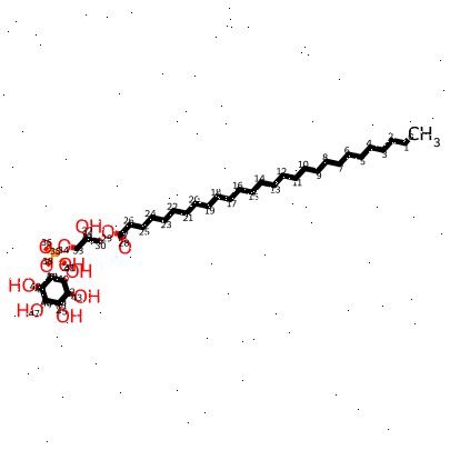 CCCCCCCCCCCCCCCCCCCCCCCCCCCC(=O)OC[C@H](O)COP(=O)(O)O[C@@H]1C(O)C(O)[C@@H](O)[C@@H](O)C1O